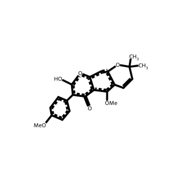 COc1ccc(-c2c(O)oc3cc4c(c(OC)c3c2=O)C=CC(C)(C)O4)cc1